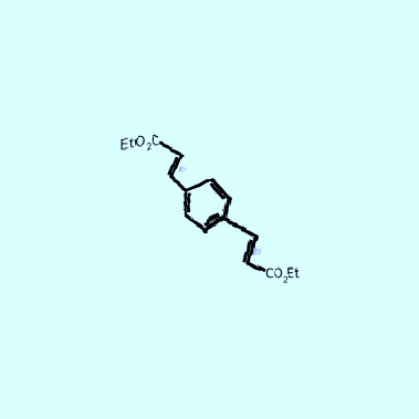 CCOC(=O)/C=C/c1ccc(/C=C/C(=O)OCC)cc1